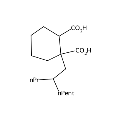 CCCCCC(CCC)CC1(C(=O)O)CCCCC1C(=O)O